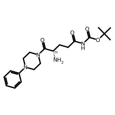 CC(C)(C)OC(=O)NC(=O)CC[C@H](N)C(=O)N1CCN(c2ccccc2)CC1